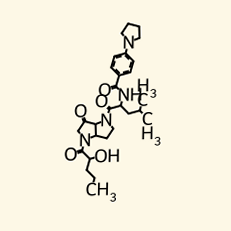 CCCC(O)C(=O)N1CC(=O)C2C1CCN2C(=O)C(CC(C)C)NC(=O)c1ccc(N2CCCC2)cc1